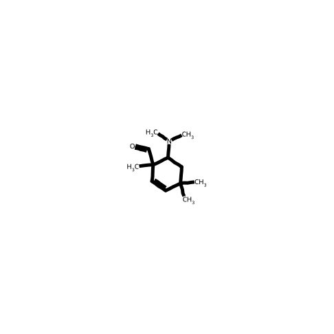 CN(C)C1CC(C)(C)C=CC1(C)C=O